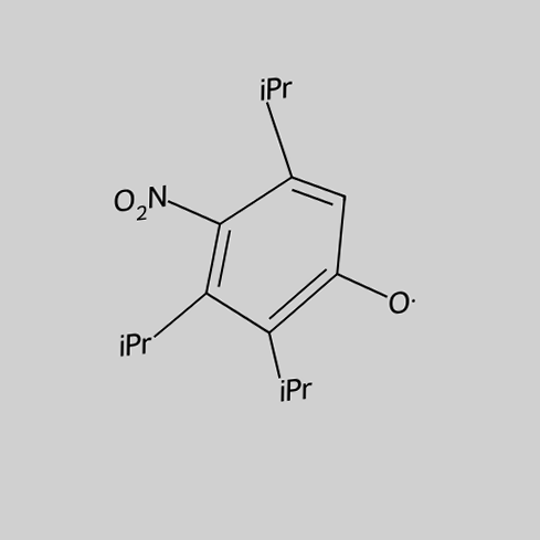 CC(C)c1cc([O])c(C(C)C)c(C(C)C)c1[N+](=O)[O-]